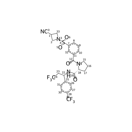 N#CC1CN(S(=O)(=O)c2cccc(C(=O)N3CCC[C@@H]3C(=O)NC(CC(F)(F)F)c3ccc(C(F)(F)F)cc3)c2)C1